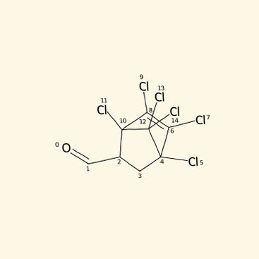 O=CC1CC2(Cl)C(Cl)=C(Cl)C1(Cl)C2(Cl)Cl